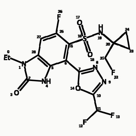 CCn1c(=O)[nH]c2c(-c3nnc(C(F)F)o3)c(S(=O)(=O)NC3(CF)CC3)c(F)cc21